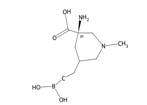 CN1CC(CCB(O)O)C[C@](N)(C(=O)O)C1